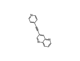 C(#Cc1cnc2cccnc2c1)c1ccncc1